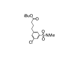 CNS(=O)(=O)c1cc(Cl)cc(CCCC(=O)OCC(C)C)c1